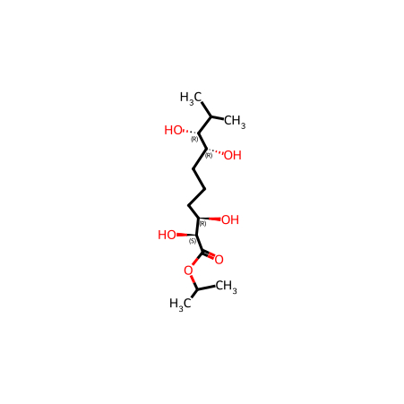 CC(C)OC(=O)[C@@H](O)[C@H](O)CCC[C@@H](O)[C@H](O)C(C)C